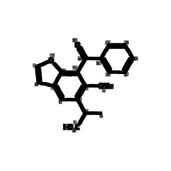 COc1c(C(C)C(=O)O)cc2ccoc2c1C(=O)c1ccccc1